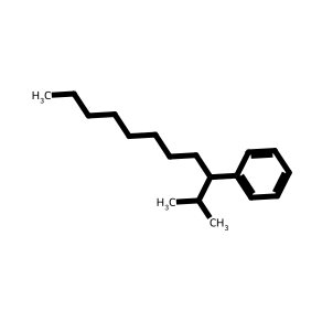 CCCCCCCCC(c1[c]cccc1)C(C)C